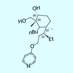 CCCCC1[C@](C)(CO)[C@H](O)CC[C@@]1(C)[C@@H](CC)CCOc1ccncc1